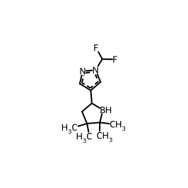 CC1(C)BC(c2cnn(C(F)F)c2)CC1(C)C